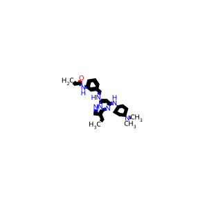 C=CC(=O)Nc1cccc(CNc2cc(N[C@H]3CC[C@H](N(C)C)CC3)nc3c(CC)cnn23)c1